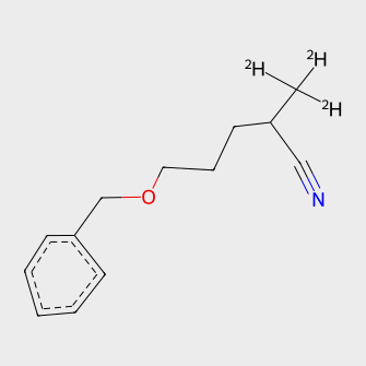 [2H]C([2H])([2H])C(C#N)CCCOCc1ccccc1